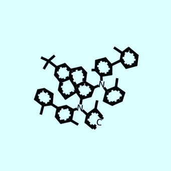 Cc1ccccc1-c1ccc(C)c(N(c2ccccc2C)c2cc(N(c3ccccc3C)c3cc(-c4ccccc4C)ccc3C)c3ccc4cc(C(C)(C)C)cc5ccc2c3c54)c1